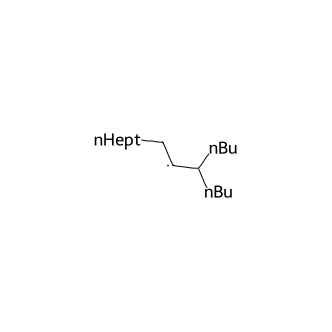 CCCCCCCC[CH]C(CCCC)CCCC